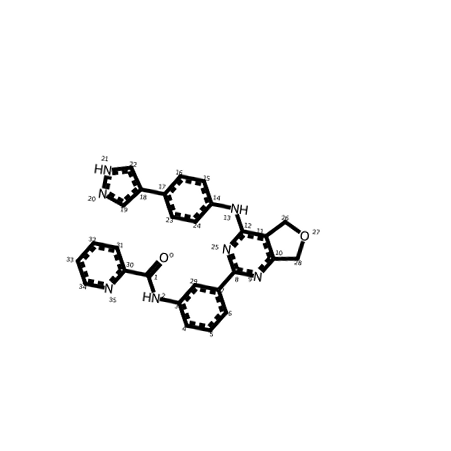 O=C(Nc1cccc(-c2nc3c(c(Nc4ccc(-c5cn[nH]c5)cc4)n2)COC3)c1)c1ccccn1